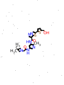 Cc1ncc(NC(=O)CN2CC(C)(C)C2)cc1NC(=O)c1cnn2cc(-c3ccc(CO)s3)sc12